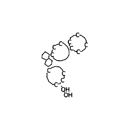 C1CCC2CCCCC2C1.C1CCCCCCCCCCCCC1.C1CCCCCCCCCCCCC1.C1CCCCCCCCCCCCC1.CO.CO